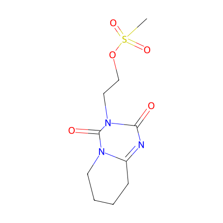 CS(=O)(=O)OCCn1c(=O)nc2n(c1=O)CCCC2